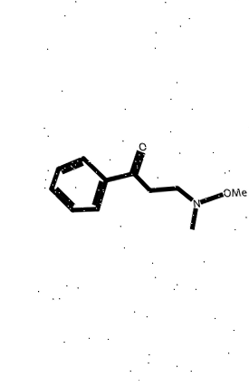 CON(C)CCC(=O)c1ccccc1